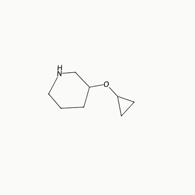 C1CNCC(OC2CC2)C1